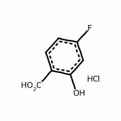 Cl.O=C(O)c1ccc(F)cc1O